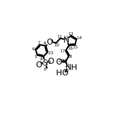 CS(=O)(=O)c1cccc(OCCn2cccc2/C=C/C(=O)NO)c1